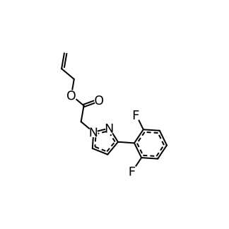 C=CCOC(=O)Cn1ccc(-c2c(F)cccc2F)n1